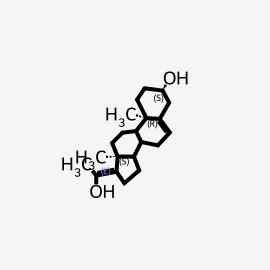 C/C(O)=C1/CCC2C3CC=C4C[C@@H](O)CC[C@]4(C)C3CC[C@]12C